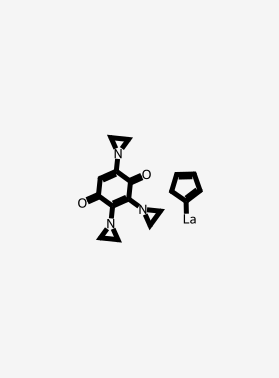 O=C1C=C(N2CC2)C(=O)C(N2CC2)=C1N1CC1.[La][C]1=CC=CC1